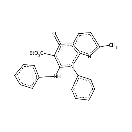 CCOC(=O)c1c(Nc2ccccc2)n(-c2ccccc2)c2nc(C)ccc2c1=O